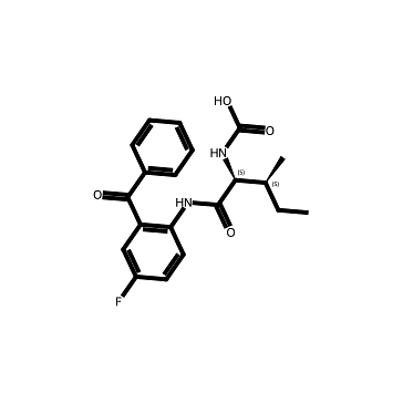 CC[C@H](C)[C@H](NC(=O)O)C(=O)Nc1ccc(F)cc1C(=O)c1ccccc1